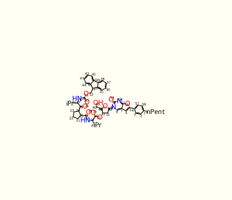 CCCCCc1ccc(-c2cc3cn([C@H]4CC(OC(=O)C(NC(=O)C5CCCC5C(=O)C(NC(=O)OCC5c6ccccc6-c6ccccc65)C(C)C)C(C)C)[C@@H](CO)O4)c(=O)nc3o2)cc1